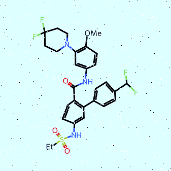 CCS(=O)(=O)Nc1ccc(C(=O)Nc2ccc(OC)c(N3CCC(F)(F)CC3)c2)c(-c2ccc(C(F)F)cc2)c1